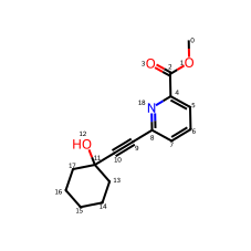 COC(=O)c1cccc(C#CC2(O)CCCCC2)n1